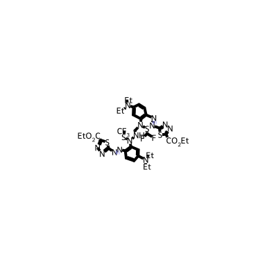 CCOC(=O)c1nnc(/N=N/c2ccc(N(CC)CC)cc2N(CNN(SC(F)(F)F)c2cc(N(CC)CC)ccc2/N=N/c2nnc(C(=O)OCC)s2)SC(F)F)s1